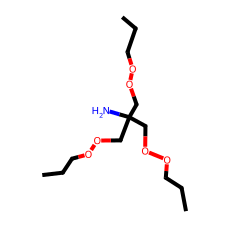 CCCOOCC(N)(COOCCC)COOCCC